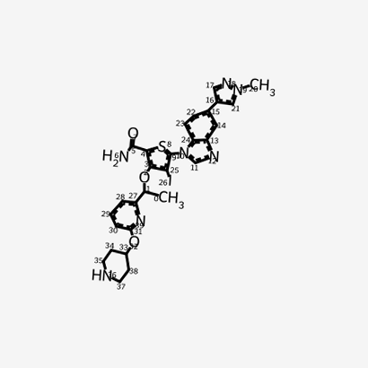 CC(Oc1c(C(N)=O)sc(-n2cnc3cc(-c4cnn(C)c4)ccc32)c1I)c1cccc(OC2CCNCC2)n1